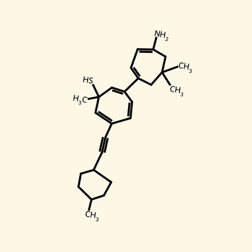 CC1CCC(C#CC2=CC(C)(S)C=C(C3=CC=C(N)CC(C)(C)C3)C=C2)CC1